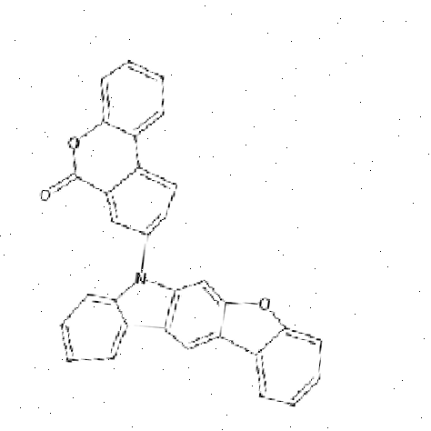 O=c1oc2ccccc2c2ccc(-n3c4ccccc4c4cc5c(cc43)oc3ccccc35)cc12